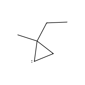 CCC1(C)[C]C1